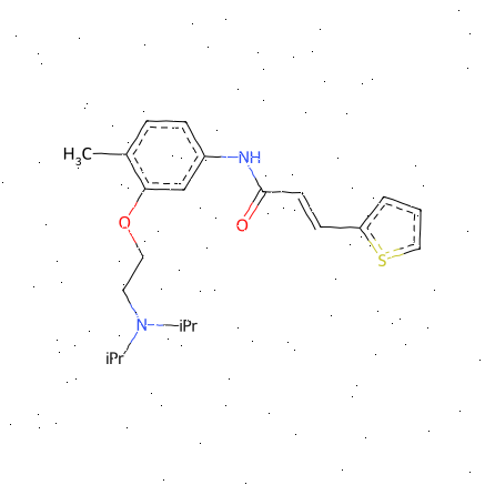 Cc1ccc(NC(=O)/C=C/c2cccs2)cc1OCCN(C(C)C)C(C)C